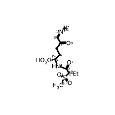 CC[C@@H](C(=O)N[C@@H](CCC(=O)C=[N+]=[N-])C(=O)O)S(C)(=O)=O